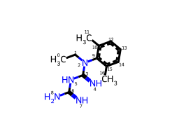 CCN(C(=N)NC(=N)N)c1c(C)cccc1C